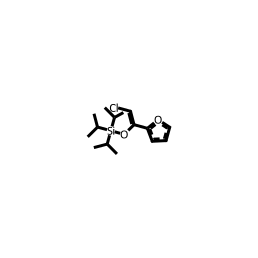 CC(C)[Si](OC(=CCl)c1ccco1)(C(C)C)C(C)C